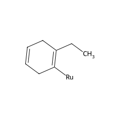 CCC1=[C]([Ru])CC=CC1